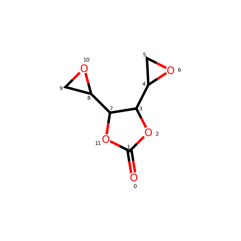 O=C1OC(C2CO2)C(C2CO2)O1